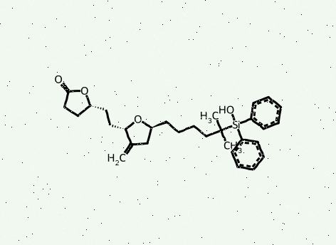 C=C1C[C@H](CCCCC(C)(C)[Si](O)(c2ccccc2)c2ccccc2)O[C@H]1CC[C@@H]1CCC(=O)O1